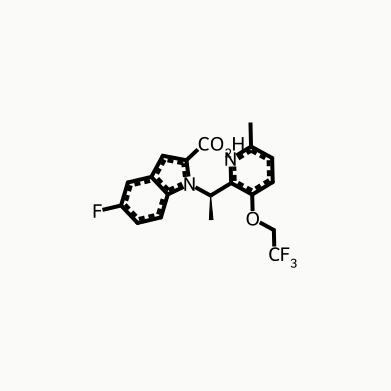 Cc1ccc(OCC(F)(F)F)c([C@@H](C)n2c(C(=O)O)cc3cc(F)ccc32)n1